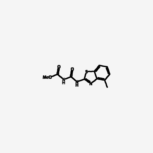 COC(=O)NC(=O)Nc1nc2c(C)cccc2s1